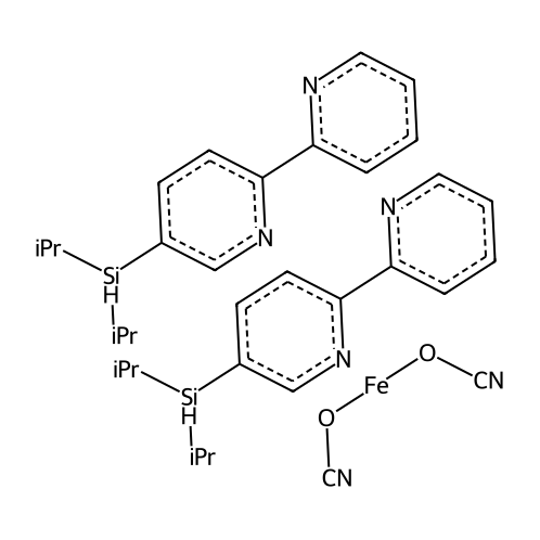 CC(C)[SiH](c1ccc(-c2ccccn2)nc1)C(C)C.CC(C)[SiH](c1ccc(-c2ccccn2)nc1)C(C)C.N#C[O][Fe][O]C#N